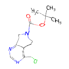 CC(C)(C)OC(=O)N1Cc2ncnc(Cl)c2C1